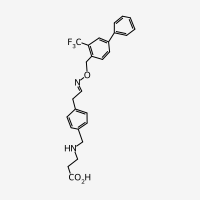 O=C(O)CCNCc1ccc(CC=NOCc2ccc(-c3ccccc3)cc2C(F)(F)F)cc1